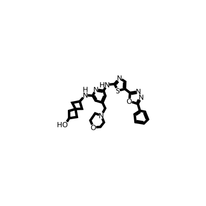 OC1CC2(C1)CC(Nc1cc(CN3CCOCC3)cc(Nc3ncc(-c4nnc(-c5ccccc5)o4)s3)n1)C2